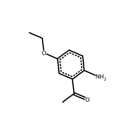 CCOc1ccc(N)c(C(C)=O)c1